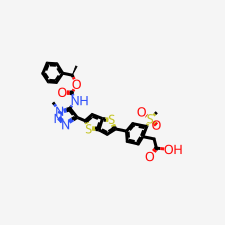 C[C@@H](OC(=O)Nc1c(-c2cc3sc(-c4ccc(CC(=O)O)c(S(C)(=O)=O)c4)cc3s2)nnn1C)c1ccccc1